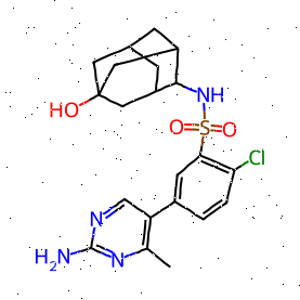 Cc1nc(N)ncc1-c1ccc(Cl)c(S(=O)(=O)NC2C3CC4CC2CC(O)(C4)C3)c1